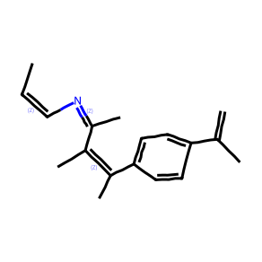 C=C(C)c1ccc(\C(C)=C(C)/C(C)=N\C=C/C)cc1